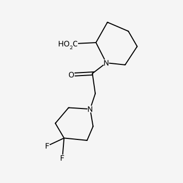 O=C(O)C1CCCCN1C(=O)CN1CCC(F)(F)CC1